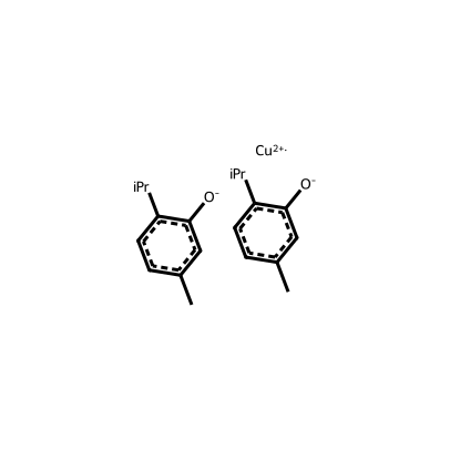 Cc1ccc(C(C)C)c([O-])c1.Cc1ccc(C(C)C)c([O-])c1.[Cu+2]